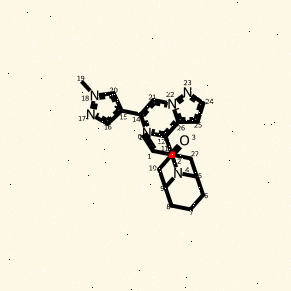 C=CC(=O)N1C2CCCC1CC(c1nc(-c3cnn(C)c3)cn3nccc13)C2